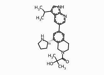 CC(C)c1c[nH]c2ncc(-c3cc4c(c([C@@H]5CCCN5)c3)CN(C(=O)C(C)(C)O)CC4)cc12